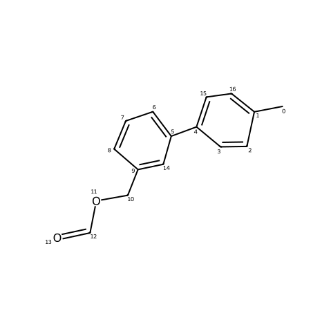 Cc1ccc(-c2cccc(COC=O)c2)cc1